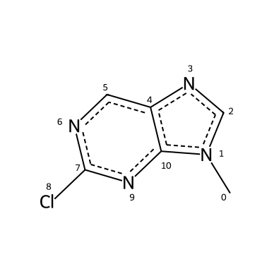 Cn1cnc2cnc(Cl)nc21